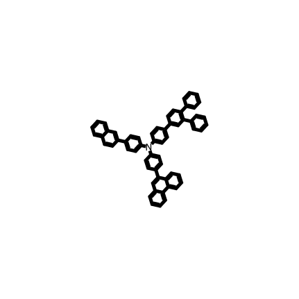 c1ccc(-c2ccc(-c3ccc(N(c4ccc(-c5ccc6ccccc6c5)cc4)c4ccc(-c5cc6ccccc6c6ccccc56)cc4)cc3)cc2-c2ccccc2)cc1